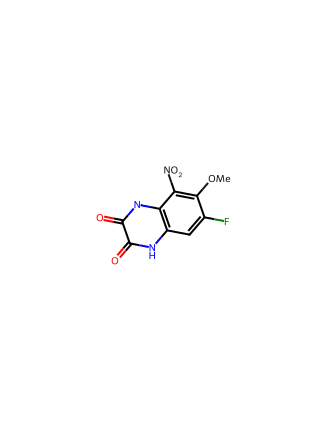 COc1c(F)cc2c(c1[N+](=O)[O-])[N]C(=O)C(=O)N2